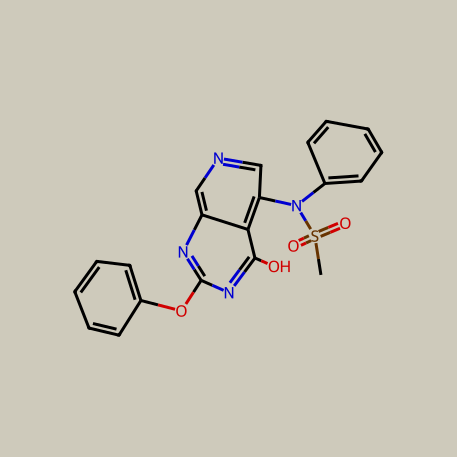 CS(=O)(=O)N(c1ccccc1)c1cncc2nc(Oc3ccccc3)nc(O)c12